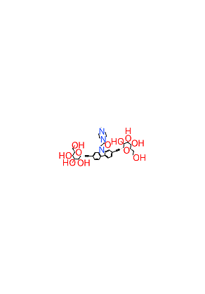 CN1CCN(C(=O)Cn2c3cc(C#C[C@H]4O[C@H](CO)[C@@H](O)[C@H](O)[C@@H]4O)ccc3c3ccc(C#C[C@H]4O[C@H](CCO)[C@@H](O)[C@H](O)[C@@H]4O)cc32)CC1